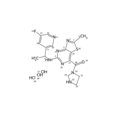 Cc1nc2nc(NC(C)c3cncc(F)c3)nc(C(=O)N3CCNC3)c2s1.Cl.Cl.Cl